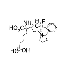 CC(F)(F)c1ccccc1C1CCCN1CCCC(N)(CCCCB(O)O)C(=O)O